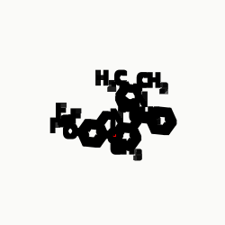 C=C1C(=C)N2C(=C)CC1C(NCc1cc(OC(F)(F)F)ccc1OC)C2C(c1ccccc1)c1ccccc1